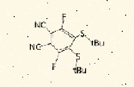 CC(C)(C)Sc1c(F)c(C#N)c(C#N)c(F)c1SC(C)(C)C